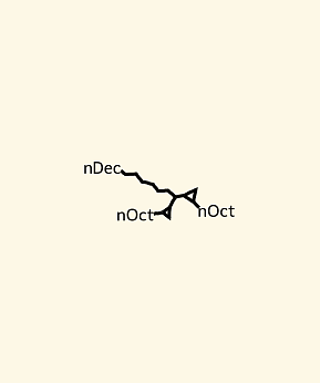 CCCCCCCC[CH]CCCCCCCC(C1CC1CCCCCCCC)C1CC1CCCCCCCC